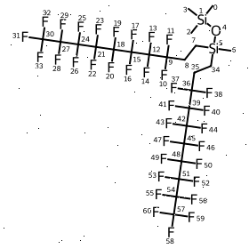 C[Si](C)(C)O[Si](C)(CCC(F)(F)C(F)(F)C(F)(F)C(F)(F)C(F)(F)C(F)(F)C(F)(F)C(F)(F)F)CCC(F)(F)C(F)(F)C(F)(F)C(F)(F)C(F)(F)C(F)(F)C(F)(F)C(F)(F)F